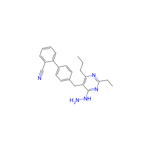 CCCc1nc(CC)nc(NN)c1Cc1ccc(-c2ccccc2C#N)cc1